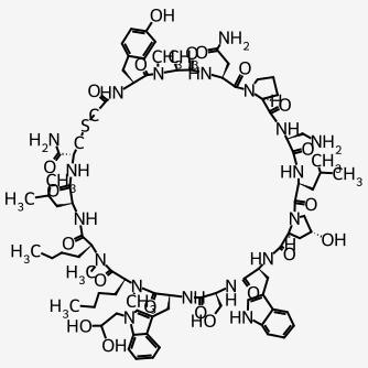 CCCC[C@H]1C(=O)N(C)[C@@H](CCCC)C(=O)N[C@@H](CC(C)C)C(=O)N[C@H](C(N)=O)CSCC(=O)N[C@@H](Cc2ccc(O)cc2)C(=O)N(C)[C@@H](C)C(=O)N[C@@H](CC(N)=O)C(=O)N2CCC[C@H]2C(=O)N[C@@H](CN)C(=O)N[C@@H](CC(C)C)C(=O)N2C[C@H](O)C[C@H]2C(=O)N[C@@H](Cc2c[nH]c3ccccc23)C(=O)N[C@@H](CO)C(=O)N[C@@H](Cc2cn(CC(O)O)c3ccccc23)C(=O)N1C